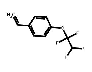 C=Cc1ccc(OC(F)(F)C(F)F)cc1